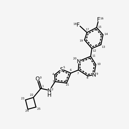 O=C(Nc1csc(-c2cncc(-c3ccc(F)c(F)c3)n2)c1)C1CCC1